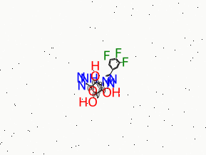 OC[C@H]1O[C@@H](c2ncn[nH]2)[C@H](O)[C@@H](n2cc(-c3cc(F)c(F)c(F)c3)nn2)[C@H]1O